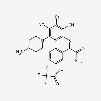 CCc1c(C#N)c(SC(C(N)=O)c2ccccc2)nc(N2CCN(N)CC2)c1C#N.O=C(O)C(F)(F)F